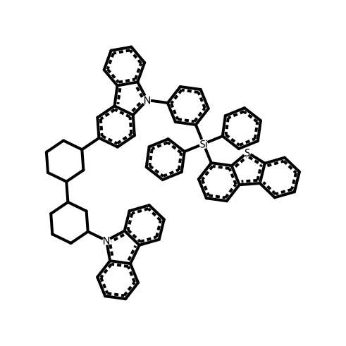 c1ccc([Si](c2ccccc2)(c2cccc(-n3c4ccccc4c4cc(C5CCCC(C6CCCC(n7c8ccccc8c8ccccc87)C6)C5)ccc43)c2)c2cccc3c2sc2ccccc23)cc1